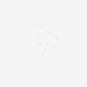 C=Cc1ccc(COc2ccc3c4ccccc4n(-c4cc(N(c5ccccc5)c5ccccc5)cc(-n5c6ccccc6c6ccc(OCc7ccc(C=C)cc7)cc65)c4)c3c2)cc1